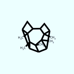 CC12C3CC1C1C4C5C6CC3C6(C)C5(C)C4(C)C12C